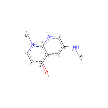 CCn1ccc(=O)c2cc(NC(C)C)cnc21